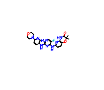 C=C(/N=C(Nc1ccc2c(n1)NC(=O)C(C)(C)O2)\C(F)=C/N)Nc1ccc(N2CCOCC2)nc1